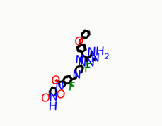 Nc1ncnc2c1c(-c1ccc(Oc3ccccc3)cc1)nn2[C@@H]1CCN(Cc2ccc3c(c2F)CN(C2CCC(=O)NC2=O)C3=O)C[C@H]1F